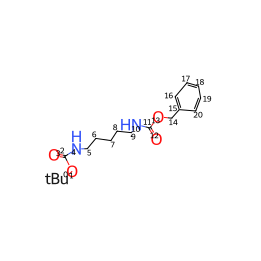 CC(C)(C)OC(=O)NCCCC[CH]NC(=O)OCc1ccccc1